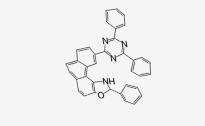 c1ccc(-c2nc(-c3ccccc3)nc(-c3ccc4ccc5ccc6c(c5c4c3)NC(c3ccccc3)O6)n2)cc1